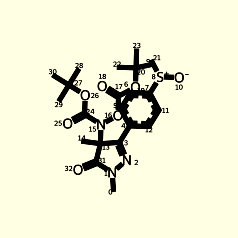 CN1N=C(c2ccc([S+](C)[O-])cc2)C(C)(N(OC(=O)OC(C)(C)C)C(=O)OC(C)(C)C)C1=O